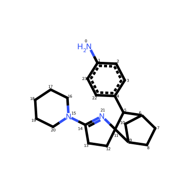 Nc1ccc(C2C3CCC(C3)C23CCC(N2CCCCC2)=N3)cc1